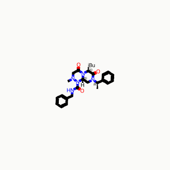 CCC(C)[C@H]1C(=O)N([C@H](C)c2ccccc2)C[C@H]2N1C(=O)CN(C)N2C(=O)NCc1ccccc1